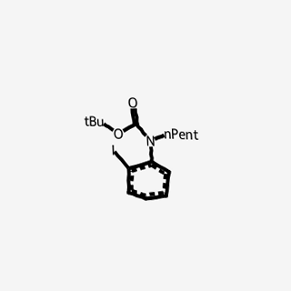 CCCCCN(C(=O)OC(C)(C)C)c1ccccc1I